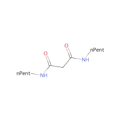 CCCCCNC(=O)CC(=O)NCCCCC